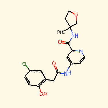 N#CC1(NC(=O)c2cc(NC(=O)Cc3cc(Cl)ccc3O)ccn2)CCOC1